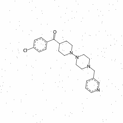 O=C(c1ccc(Cl)cc1)C1CCN(N2CCN(Cc3cccnc3)CC2)CC1